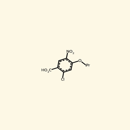 CC(C)Oc1cc(Cl)c(C(=O)O)cc1[N+](=O)[O-]